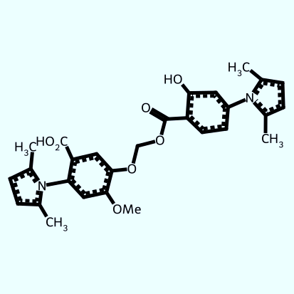 COc1cc(-n2c(C)ccc2C)c(C(=O)O)cc1OCOC(=O)c1ccc(-n2c(C)ccc2C)cc1O